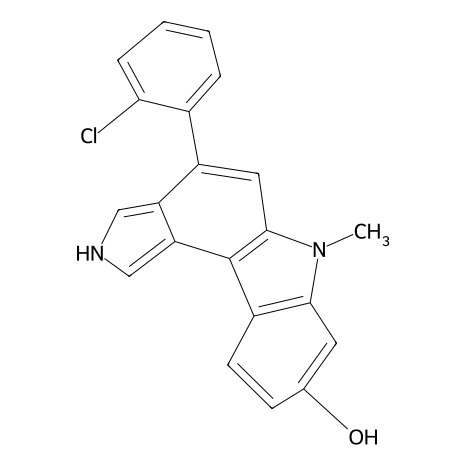 Cn1c2cc(O)ccc2c2c3c[nH]cc3c(-c3ccccc3Cl)cc21